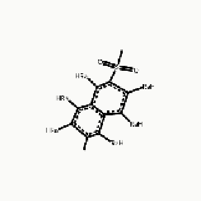 Cc1[c]([RaH])[c]([RaH])c2[c]([RaH])c(S(C)(=O)=O)[c]([RaH])[c]([RaH])c2[c]1[RaH]